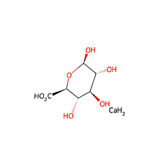 O=C(O)[C@H]1O[C@@H](O)[C@H](O)[C@@H](O)[C@@H]1O.[CaH2]